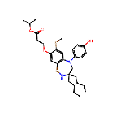 CCCCC1(CCCC)CN(c2ccc(O)cc2)c2cc(SC)c(OCCC(=O)OC(C)C)cc2SN1